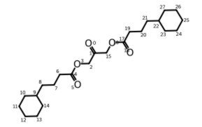 O=C(COC(=O)CCCC1CCCCC1)COC(=O)CCCC1CCCCC1